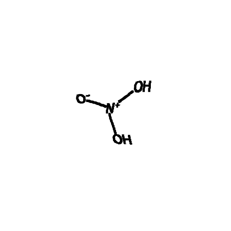 [O-][N+](O)O